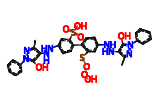 Cc1nn(-c2ccccc2)c(O)c1NNc1ccc(-c2ccc(NNc3c(C)nn(-c4ccccc4)c3O)cc2S(=O)(=O)O)c(SOOO)c1